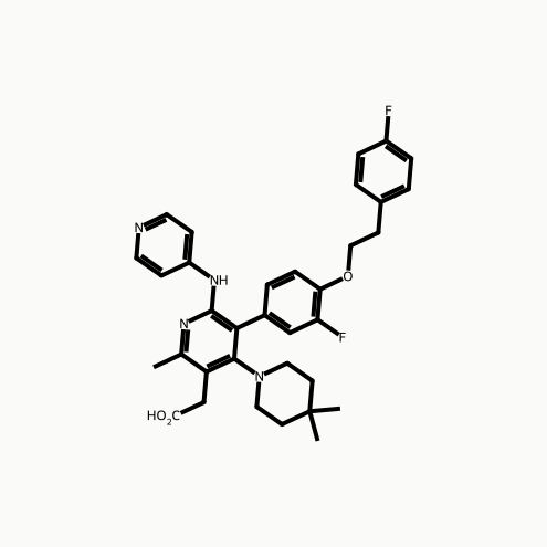 Cc1nc(Nc2ccncc2)c(-c2ccc(OCCc3ccc(F)cc3)c(F)c2)c(N2CCC(C)(C)CC2)c1CC(=O)O